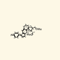 COC[C@@H]1OC2(CCCC3=Cc4c(cnn4-c4ccc(F)cc4)C[C@@]32C)O[C@H]1COC